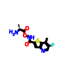 Cc1c(F)cnc2cc(C(=O)NOC(=O)[C@@H](C)N)sc12